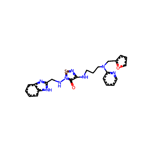 O=c1c(NCCCN(Cc2ccco2)c2ccccn2)nsn1NCc1nc2ccccc2[nH]1